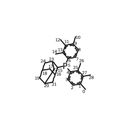 Cc1ccc(P(c2ccc(C)c(C)c2C)C2C3CC4CC(C3)CC2C4)c(C)c1C